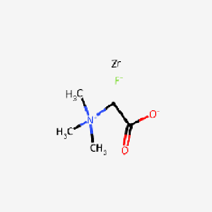 C[N+](C)(C)CC(=O)[O-].[F-].[Zr]